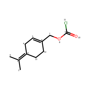 CC(C)=C1CC=C(COC(=O)Cl)CC1